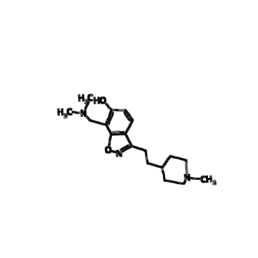 CN(C)Cc1c(O)ccc2c(CCC3CCN(C)CC3)noc12